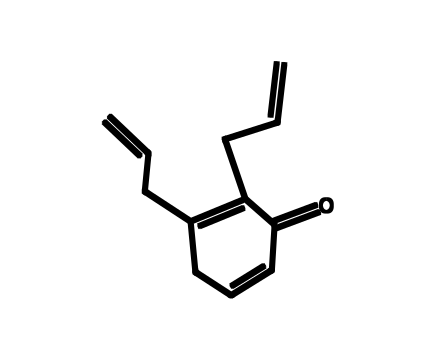 C=CCC1=C(CC=C)C(=O)C=CC1